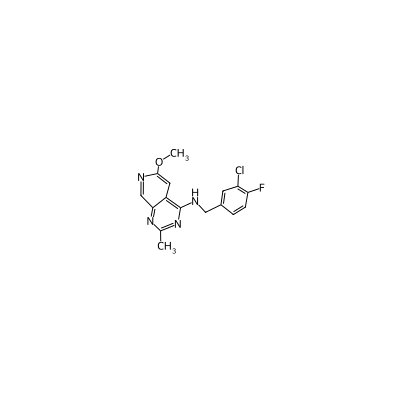 COc1cc2c(NCc3ccc(F)c(Cl)c3)nc(C)nc2cn1